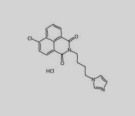 Cl.O=C1c2cccc3c(Cl)ccc(c23)C(=O)N1CCCCn1ccnc1